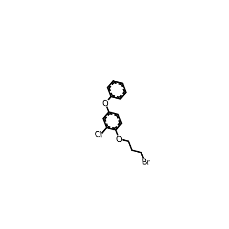 Clc1cc(Oc2ccccc2)ccc1OCCCBr